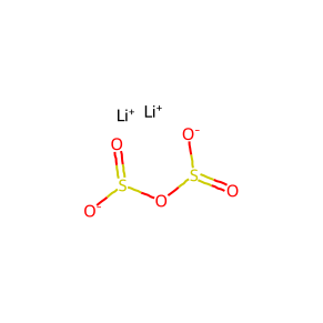 O=S([O-])OS(=O)[O-].[Li+].[Li+]